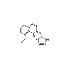 [O]Cc1cccc2ccc3cc4[nH]ncc4cc3c12